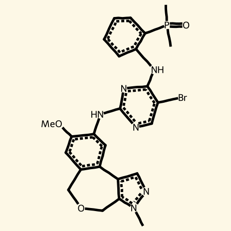 COc1cc2c(cc1Nc1ncc(Br)c(Nc3ccccc3P(C)(C)=O)n1)-c1cnn(C)c1COC2